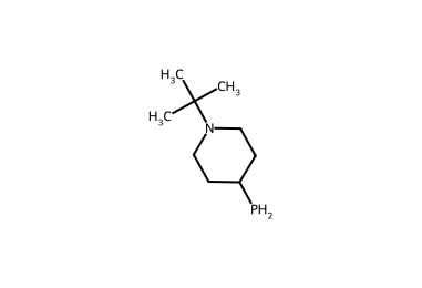 CC(C)(C)N1CCC(P)CC1